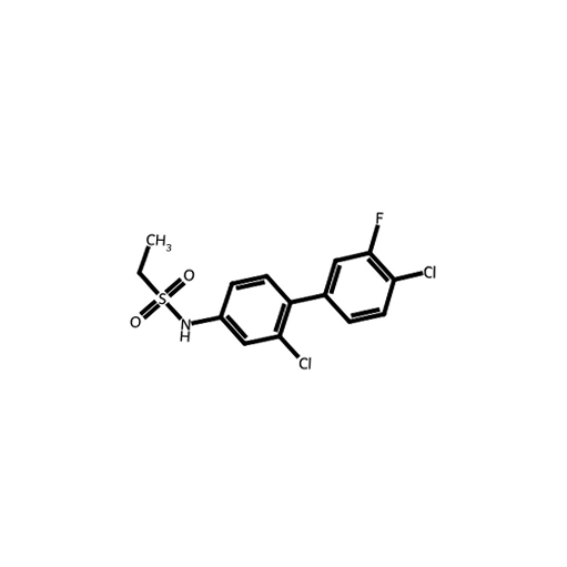 CCS(=O)(=O)Nc1ccc(-c2ccc(Cl)c(F)c2)c(Cl)c1